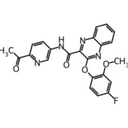 COc1cc(F)ccc1Oc1nc2ccccc2nc1C(=O)Nc1ccc(C(C)=O)nc1